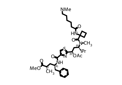 CNCCCCCC(=O)NC1(C(=O)N(C)[C@H](C[C@@H](OC(C)=O)c2nc(C(=O)N[C@@H](Cc3ccccc3)C[C@H](C)C(=O)OC)cs2)C(C)C)CCC1